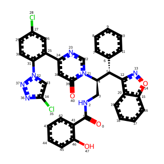 O=C(NC[C@H]([C@H](c1ccccc1)c1noc2ccccc12)n1cnc(-c2cc(Cl)ccc2-n2cc(Cl)nn2)cc1=O)c1ccccc1O